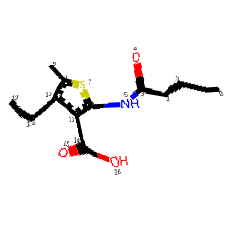 CCCC(=O)Nc1sc(C)c(CC)c1C(=O)O